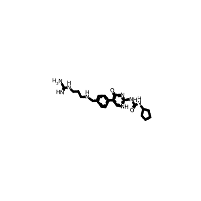 N=C(N)NCCCNCc1ccc(-c2c[nH]c(NC(=O)NC3CCCC3)nc2=O)cc1